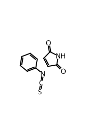 O=C1C=CC(=O)N1.S=C=Nc1ccccc1